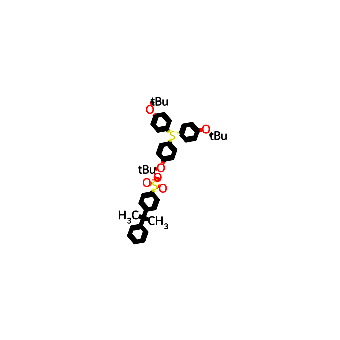 CC(C)(C)Oc1ccc([S+](c2ccc(OC(C)(C)C)cc2)c2ccc(OC(C)(C)C)cc2)cc1.CC(C)(c1ccccc1)c1ccc(S(=O)(=O)[O-])cc1